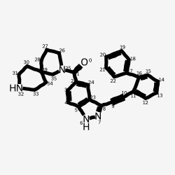 O=C(c1ccc2[nH]nc(C#Cc3ccccc3-c3ccccc3)c2c1)N1CCCC2(CCNCC2)C1